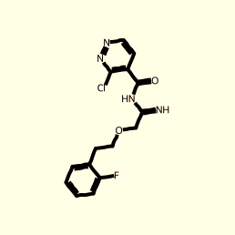 N=C(COCCc1ccccc1F)NC(=O)c1ccnnc1Cl